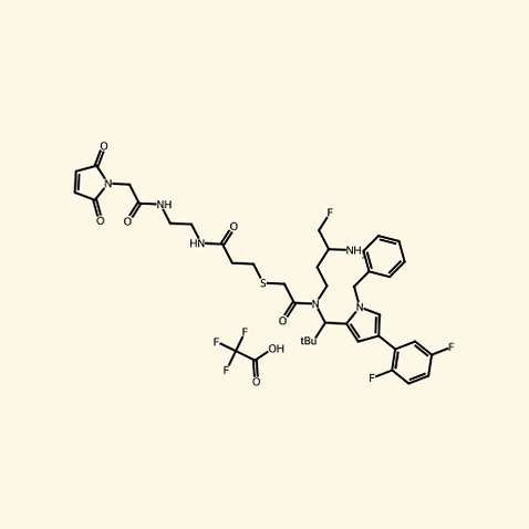 CC(C)(C)C(c1cc(-c2cc(F)ccc2F)cn1Cc1ccccc1)N(CCC(N)CF)C(=O)CSCCC(=O)NCCNC(=O)CN1C(=O)C=CC1=O.O=C(O)C(F)(F)F